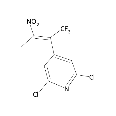 CC(=C(c1cc(Cl)nc(Cl)c1)C(F)(F)F)[N+](=O)[O-]